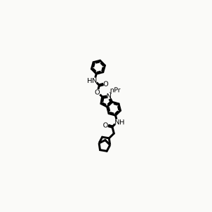 CCCn1c(OC(=O)Nc2ccccc2)cc2cc(NC(=O)CC3CC4CCC3C4)ccc21